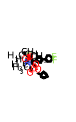 CC(C=O)[C@@](C(=O)OOCc1ccccc1)(C(c1ccc(C2=CCC(F)(F)CC2)cc1)C(C)(C)F)N(C)C(=O)OC(C)(C)C